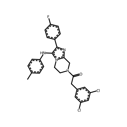 Cc1ccc(Nc2c(-c3ccc(F)cc3)nc3n2CCN(C(=O)Cc2cc(Cl)cc(Cl)c2)C3)cc1